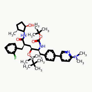 C[C@@H]1CC[C@@H](O)[C@H]1NC(=O)[C@H](Cc1ccccc1F)C[C@H](O[Si](C)(C)C(C)(C)C)[C@H](Cc1ccc(-c2ccc(N(C)C)nc2)cc1)NC(=O)OC(C)(C)C